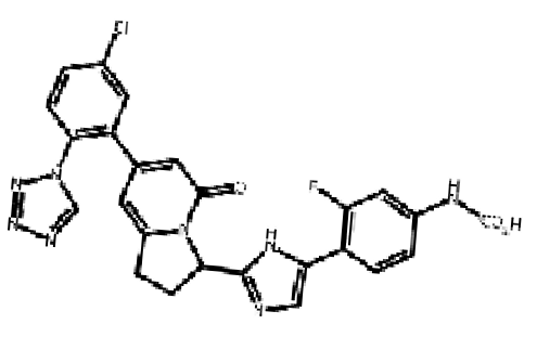 O=C(O)Nc1ccc(-c2cnc(C3CCc4cc(-c5cc(Cl)ccc5-n5cnnn5)cc(=O)n43)[nH]2)c(F)c1